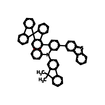 CC1(C)c2ccccc2-c2ccc(N(c3ccccc3)c3cc(-c4ccc5sc6ccccc6c5c4)ccc3-c3cccc4c3-c3ccccc3C43c4ccccc4-c4ccccc43)cc21